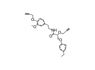 C#CCOc1ccc(CCNC(=O)[C@H](COc2ccc(CC)cc2)OCC#C)cc1OC